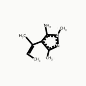 C/C=C(/C)c1c(C)nn(C)c1N